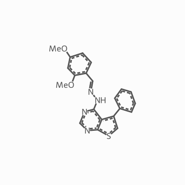 COc1ccc(/C=N/Nc2ncnc3scc(-c4ccccc4)c23)c(OC)c1